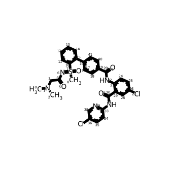 CN(C)CC(=O)N=S(C)(=O)c1ccccc1-c1ccc(C(=O)Nc2ccc(Cl)cc2C(=O)Nc2ccc(Cl)cn2)cc1